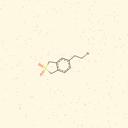 O=S1(=O)Cc2ccc(CCBr)cc2C1